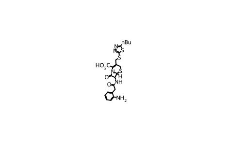 CCCCc1nnc(SCC2=C(C(=O)O)N3C(=O)C(NC(=O)Cc4ccccc4N)[C@H]3SC2)s1